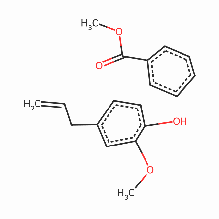 C=CCc1ccc(O)c(OC)c1.COC(=O)c1ccccc1